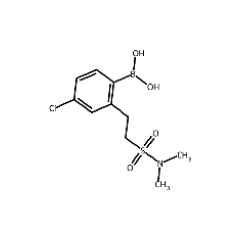 CN(C)S(=O)(=O)CCc1cc(Cl)ccc1B(O)O